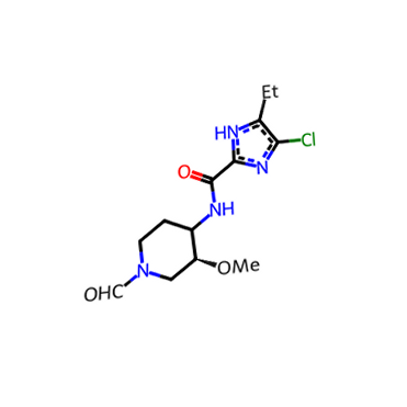 CCc1[nH]c(C(=O)NC2CCN(C=O)C[C@@H]2OC)nc1Cl